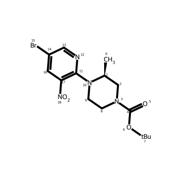 C[C@H]1CN(C(=O)OC(C)(C)C)CCN1c1ncc(Br)cc1[N+](=O)[O-]